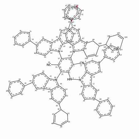 N#Cc1c(Nn2c3ccc(-c4ccccc4)cc3c3cc(-c4ccccc4)ccc32)c(-n2c3ccc(-c4ccccc4)cc3c3cc(C4C=CC=CC4)ccc32)c(C#N)c(-n2c3ccc(-c4ccccc4)cc3c3cc(-c4ccccc4)ccc32)c1-n1c2c(c3cc(-c4ccccc4)ccc31)CC(C1C=CC=CC1)C=C2